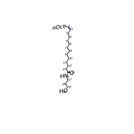 CCCCCCCC/C=C\CCCCCCCCCCCC(=O)NCCCO